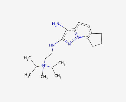 CC(C)[N+](C)(CCNc1nn2c3c(ccc2c1N)CCC3)C(C)C